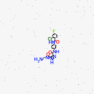 NCCNC(=O)c1[nH]cnc1C(=O)Nc1ccc(NC(=O)c2ccc(F)cc2Cl)cc1